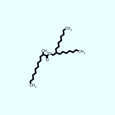 CCCCCCCCCCC(C)C(=O)OCC(CCCCCCC)CCCCCCCC